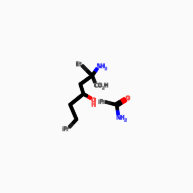 CC(C)C(N)=O.CCC(N)(CC(O)CCC(C)C)C(=O)O